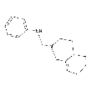 C1=C2CN(CNc3ccccc3)CCC2CCC1